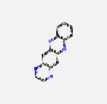 c1ccc2nc3cc4nccnc4cc3nc2c1